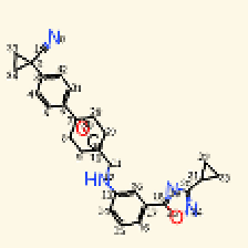 N#CC1(c2ccc(C34CCC(CNc5cccc(-c6nc(C7CC7)no6)c5)(CC3)CO4)cc2)CC1